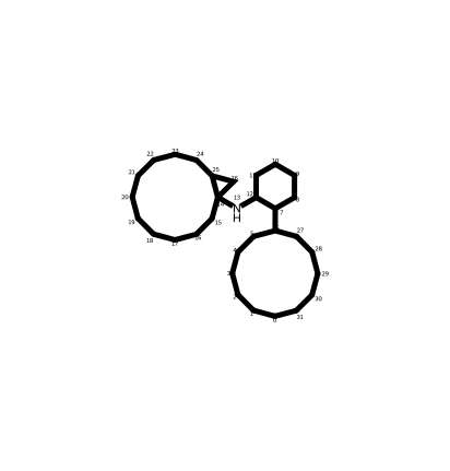 C1CCCCCC(C2CCCCC2NC23CCCCCCCCCCC2C3)CCCCC1